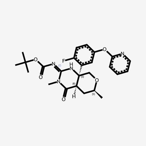 C[C@H]1C[C@H]2C(=O)N(C)/C(=N\C(=O)OC(C)(C)C)N[C@@]2(c2cc(Oc3ccccn3)ccc2F)CO1